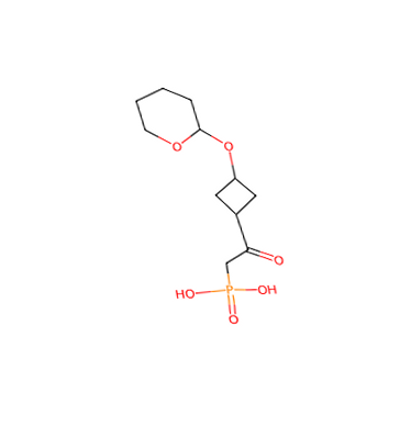 O=C(CP(=O)(O)O)C1CC(OC2CCCCO2)C1